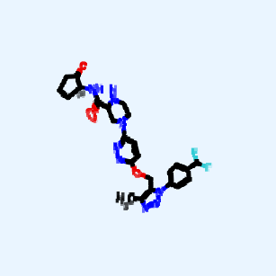 Cc1nnn(-c2ccc(C(F)F)cc2)c1COc1ccc(N2CCNC(C(=O)N[C@H]3CCCC3=O)C2)nn1